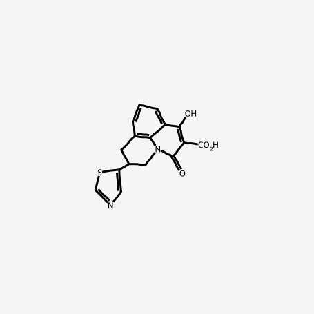 O=C(O)c1c(O)c2cccc3c2n(c1=O)CC(c1cncs1)C3